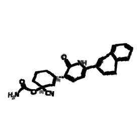 N#C[C@@]1(OC(N)=O)CCC[C@H](c2ccc(-c3ccc4ccccc4c3)[nH]c2=O)C1